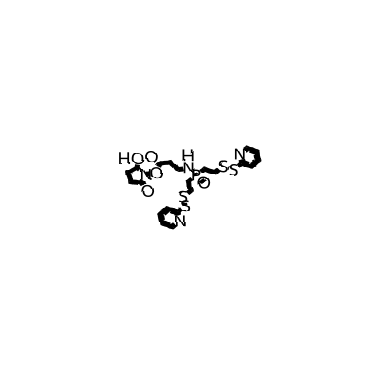 O=C(CCNP(=O)(CCSSc1ccccn1)CCSSc1ccccn1)ON1C(=O)CCC1O